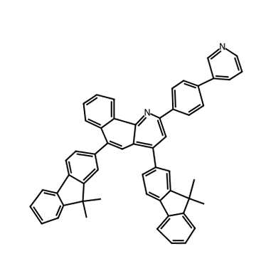 CC1(C)c2ccccc2-c2ccc(-c3cc4c(-c5ccc6c(c5)C(C)(C)c5ccccc5-6)cc(-c5ccc(-c6cccnc6)cc5)nc4c4ccccc34)cc21